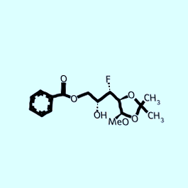 CO[C@@H]1OC(C)(C)O[C@@H]1[C@@H](F)[C@H](O)COC(=O)c1ccccc1